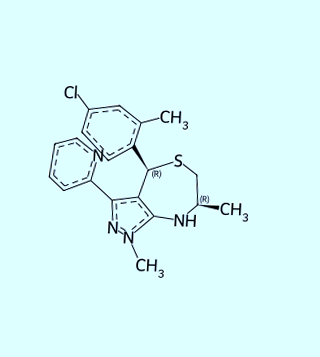 Cc1cc(Cl)ccc1[C@H]1SC[C@@H](C)Nc2c1c(-c1ccccn1)nn2C